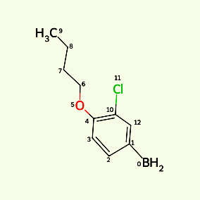 Bc1ccc(OCCCC)c(Cl)c1